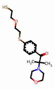 CC(C)(C(=O)c1ccc(SCCOCCS)cc1)N1CCOCC1